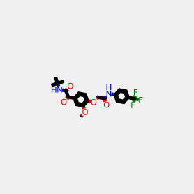 COc1cc(C(=O)C(=O)NC(C)(C)C)ccc1OCC(=O)Nc1ccc(C(F)(F)F)cc1